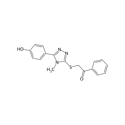 Cn1c(SCC(=O)c2ccccc2)nnc1-c1ccc(O)cc1